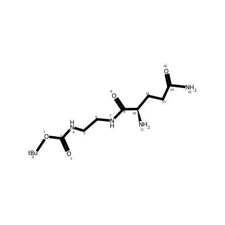 CC(C)(C)OC(=O)NCCNC(=O)[C@H](N)CCC(N)=O